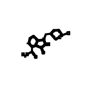 NC(=O)c1[c]ccc2c1c(=O)[nH]n2Cc1ccc(Cl)cc1